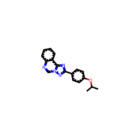 CC(C)Oc1ccc(-c2nc3c4ccccc4ncn3n2)cc1